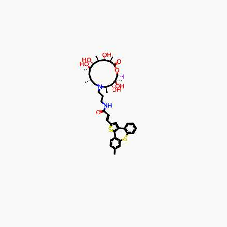 Cc1ccc2c(c1)Sc1ccccc1-c1cc(/C=C/C(=O)NCCCN3C[C@H](C)C[C@@](C)(O)[C@H](O)[C@@H](C)[C@H](O)[C@@H](C)C(=O)O[C@H](I)[C@@](C)(O)[C@H](O)[C@H]3C)sc1-2